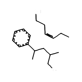 CC(CO)CC(C)c1ccccc1.CC/C=C\CCO